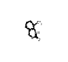 O=c1ncc2cccc(C(F)(F)F)c2[nH]1